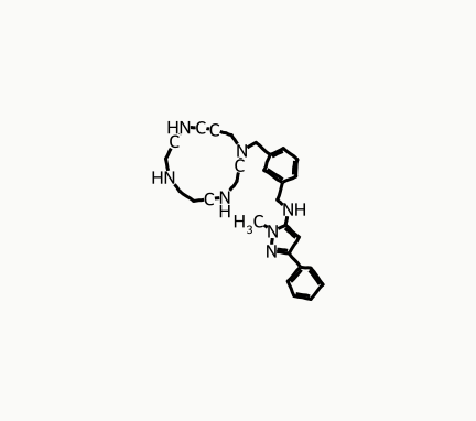 Cn1nc(-c2ccccc2)cc1NCc1cccc(CN2CCCNCCNCCCNCC2)c1